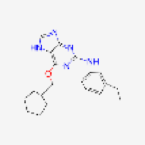 CCc1cccc(Nc2nc(OCC3CCCCC3)c3[nH]cnc3n2)c1